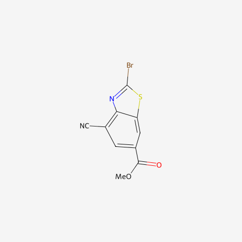 COC(=O)c1cc(C#N)c2nc(Br)sc2c1